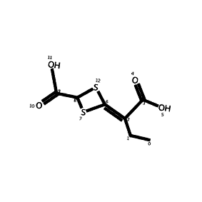 CCC(C(=O)O)=C1SC(C(=O)O)S1